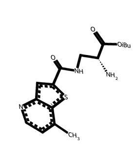 Cc1ccnc2cc(C(=O)NC[C@@H](N)C(=O)OCC(C)C)sc12